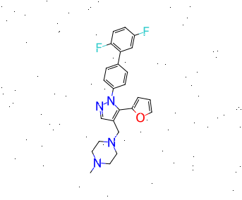 CN1CCN(Cc2cnn(-c3ccc(-c4cc(F)ccc4F)cc3)c2-c2ccco2)CC1